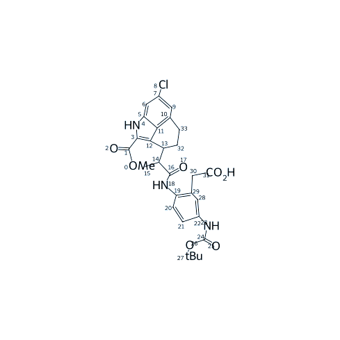 COC(=O)c1[nH]c2cc(Cl)cc3c2c1C(C(C)C(=O)Nc1ccc(NC(=O)OC(C)(C)C)cc1CC(=O)O)CC3